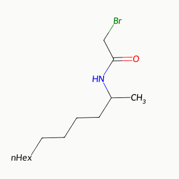 CCCCCCCCCCC(C)NC(=O)CBr